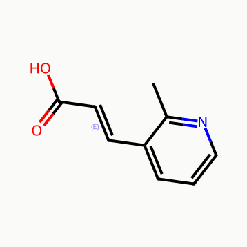 Cc1ncccc1/C=C/C(=O)O